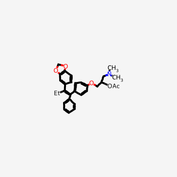 CC/C(=C(\c1ccccc1)c1ccc(OCC(CN(C)C)OC(C)=O)cc1)c1ccc2c(c1)OCO2